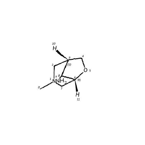 CN1C[C@@H]2CO[C@H](C1)C2N